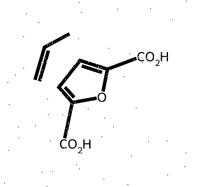 C=CC.O=C(O)c1ccc(C(=O)O)o1